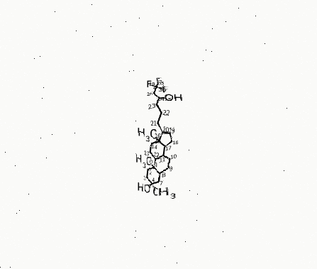 CC12CC[C@](C)(O)CC1CCC1C2CCC2(C)C1CC[C@@H]2CCCC(O)CC(F)(F)F